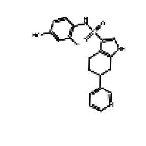 N#Cc1ccc(NS(=O)(=O)c2c[nH]c3c2CCC(c2cccnc2)C3)c(F)c1